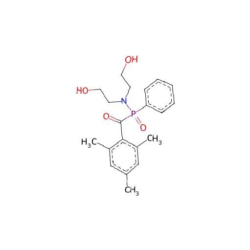 Cc1cc(C)c(C(=O)P(=O)(c2ccccc2)N(CCO)CCO)c(C)c1